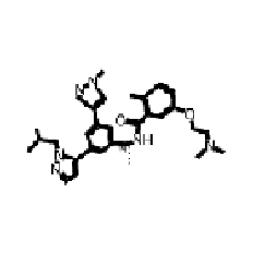 Cc1ccc(OCCN(C)C)cc1C(=O)N[C@H](C)c1cc(-c2cnn(C)c2)cc(-c2ccnn2CC(C)C)c1